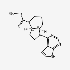 CC(C)(C)OC(=O)N1CCC[C@@H]2[C@H]1CCN2c1ncnc2[nH]ccc12